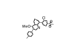 COc1c(-c2ccc(C)cc2)cnc2c(-c3ccc(S(C)(=O)=O)cc3Cl)cccc12